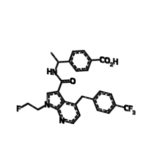 CC(NC(=O)c1cn(CCF)c2nccc(Cc3ccc(C(F)(F)F)cc3)c12)c1ccc(C(=O)O)cc1